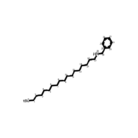 CC(C)(C)CCCCCCCCCCCCCCCCCNCc1ccccc1